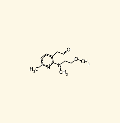 COCCN(C)c1nc(C)ccc1CC=O